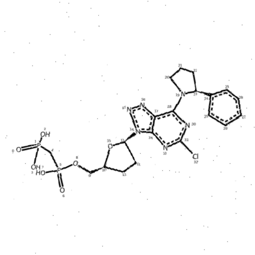 O=P(O)(O)CP(=O)(O)OC[C@@H]1CC[C@H](n2nnc3c(N4CCC[C@H]4c4ccccc4)nc(Cl)nc32)O1